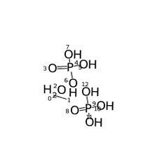 CC.O.O=P(O)(O)O.O=P(O)(O)O